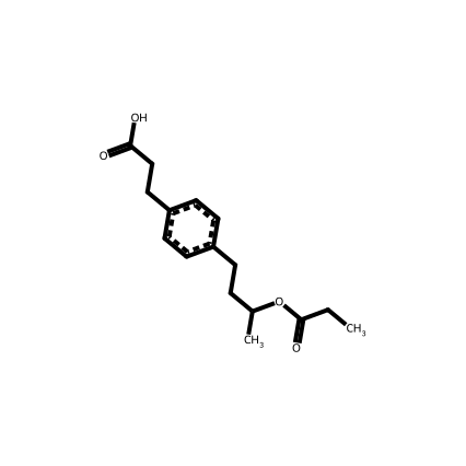 CCC(=O)OC(C)CCc1ccc(CCC(=O)O)cc1